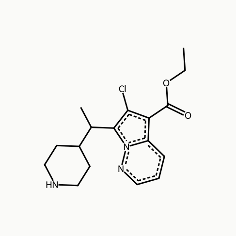 CCOC(=O)c1c(Cl)c(C(C)C2CCNCC2)n2ncccc12